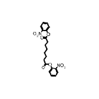 O=C(CCCCCCC(=O)Oc1ccccc1[N+](=O)[O-])Oc1ccccc1[N+](=O)[O-]